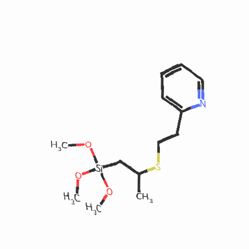 CO[Si](CC(C)SCCc1ccccn1)(OC)OC